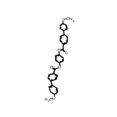 COc1ccc(-c2ccc(C(=O)Oc3ccc(OC(=O)c4ccc(C5=CCC(OC)C=C5)cc4)cc3)cc2)cc1